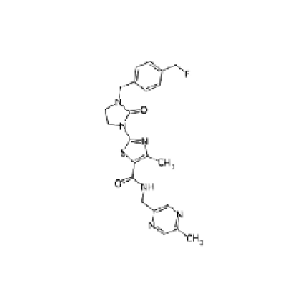 Cc1cnc(CNC(=O)c2sc(N3CCN(Cc4ccc(CF)cc4)C3=O)nc2C)cn1